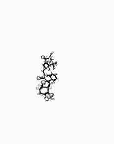 CNC(=O)c1cc(CN2C(=O)C3(C=C4C(=CCC5=C4OCO5)O3)c3ccccc32)oc1C(F)(F)F